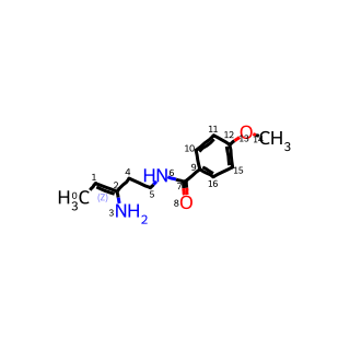 C/C=C(\N)CCNC(=O)c1ccc(OC)cc1